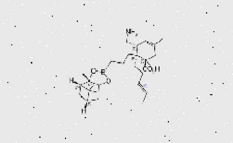 C/C=C/CC[C@]1(CCCB2OC3C[C@@H]4C[C@@H](C4(C)C)[C@]3(C)O2)[C@H](CN)C=C(C)C[C@@]1(C)C(=O)O